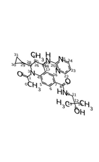 CC(=O)N1c2ccc(C(=O)NCC(C)(C)O)cc2[C@H](Nc2ncccn2)[C@@H](C)[C@@H]1C1CC1